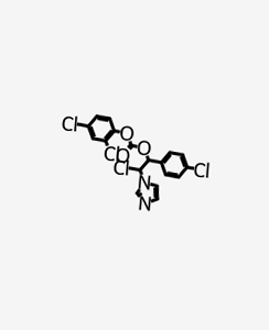 O=C(Oc1ccc(Cl)cc1Cl)OC(c1ccc(Cl)cc1)C(Cl)n1ccnc1